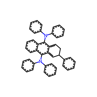 C1=c2c(N(c3ccccc3)c3ccccc3)c3ccccc3c(N(c3ccccc3)c3ccccc3)c2=CC(c2ccccc2)C1